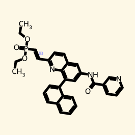 CCOP(=O)(/C=C/c1ccc2cc(NC(=O)c3cccnc3)cc(-c3cccc4ccccc34)c2n1)OCC